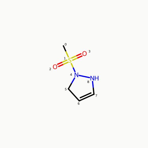 CS(=O)(=O)N1CC=CN1